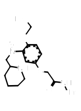 CC(=O)N(CC1CCCCN1)c1cc(OCC(=O)NC(C)C)ccc1OCC(F)(F)F